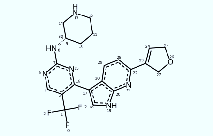 FC(F)(F)c1cnc(N[C@H]2CCCNC2)nc1-c1c[nH]c2nc(C3=CCOC3)ccc12